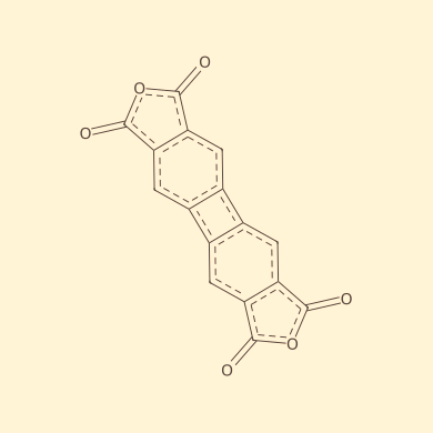 O=c1oc(=O)c2cc3c(cc12)c1cc2c(=O)oc(=O)c2cc31